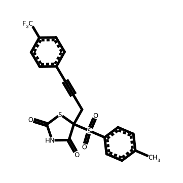 Cc1ccc(S(=O)(=O)C2(CC#Cc3ccc(C(F)(F)F)cc3)SC(=O)NC2=O)cc1